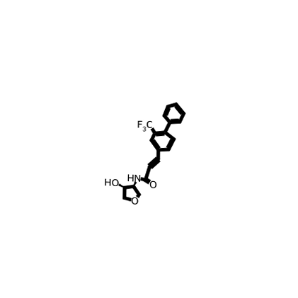 O=C(C#Cc1ccc(-c2ccccc2)c(C(F)(F)F)c1)N[C@H]1COC[C@H]1O